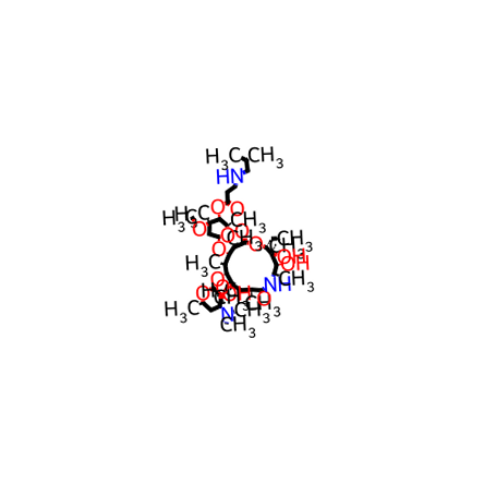 CC[C@H]1OC(=O)[C@H](C)[C@@H](O[C@H]2C[C@@](C)(OC)[C@@H](OC(=O)CCNCC(C)C)[C@H](C)O2)[C@H](C)[C@@H](O[C@@H]2O[C@H](C)C[C@H](N(C)C)[C@H]2O)[C@](C)(OC)C[C@@H](C)C(=O)N[C@H](C)[C@@H](O)[C@]1(C)O